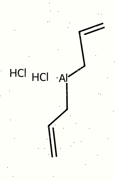 C=C[CH2][Al][CH2]C=C.Cl.Cl